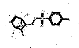 Cc1ccc(S(=O)(=O)OC[C@@H]2C(C)[C@H]3C=C[C@@H]2O3)cc1